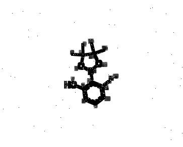 CC1(C)OB(c2c(O)cccc2F)OC1(C)C